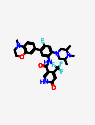 CC1CN(c2cc(F)c(-c3ccc4c(c3)OCCN4C)cc2NC(=O)c2c[nH]c(=O)cc2C(F)(F)F)CC(C)N1C